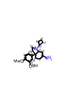 COc1ccc(C23CCC(N)CC2N(C2CCC2)CC3)cc1OC